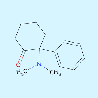 CN(C)C1(c2ccccc2)CCCCC1=O